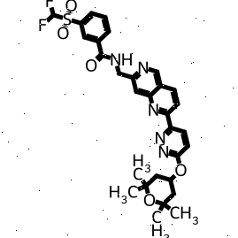 CC1(C)CC(Oc2ccc(-c3ccc4cnc(CNC(=O)c5cccc(S(=O)(=O)C(F)F)c5)cc4n3)nn2)CC(C)(C)O1